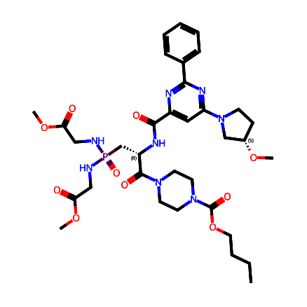 CCCCOC(=O)N1CCN(C(=O)[C@H](CP(=O)(NCC(=O)OC)NCC(=O)OC)NC(=O)c2cc(N3CC[C@H](OC)C3)nc(-c3ccccc3)n2)CC1